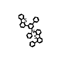 c1ccc(-c2cc(-c3cccc4c3sc3ccccc34)cc(N(c3ccccc3)c3cccc4c3sc3c(-c5ccccc5)cccc34)c2)cc1